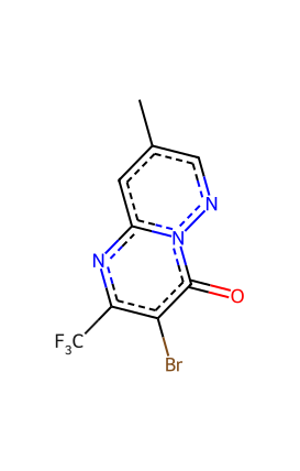 Cc1cnn2c(=O)c(Br)c(C(F)(F)F)nc2c1